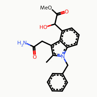 COC(=O)C(O)c1cccc2c1c(CC(N)=O)c(C)n2Cc1ccccc1